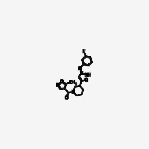 Cc1oncc1C(=O)N1CCC[C@H](C2=CN(Oc3cccc(F)c3)NO2)C1